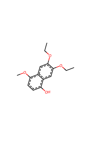 CCOc1cc2c(O)ccc(OC)c2cc1OCC